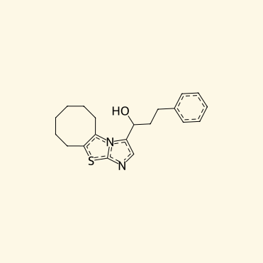 OC(CCc1ccccc1)c1cnc2sc3c(n12)CCCCCC3